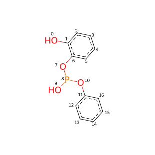 Oc1ccccc1OP(O)Oc1ccccc1